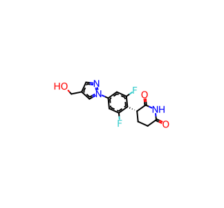 O=C1CC[C@H](c2c(F)cc(-n3cc(CO)cn3)cc2F)C(=O)N1